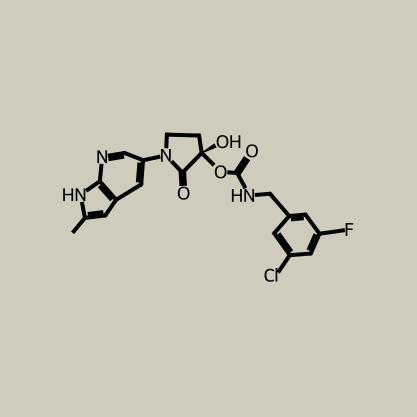 Cc1cc2cc(N3CC[C@](O)(OC(=O)NCc4cc(F)cc(Cl)c4)C3=O)cnc2[nH]1